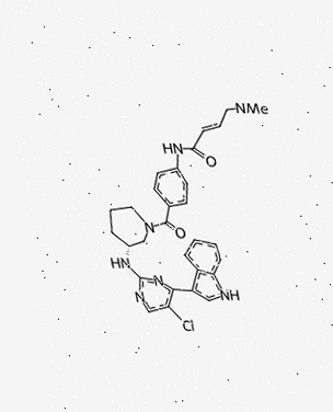 CNC/C=C/C(=O)Nc1ccc(C(=O)N2CCC[C@@H](Nc3ncc(Cl)c(-c4c[nH]c5ccccc45)n3)C2)cc1